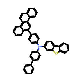 c1ccc(-c2ccc(N(c3ccc(-c4cc5c6ccccc6ccc5c5ccccc45)cc3)c3ccc4c(c3)sc3ccccc34)cc2)cc1